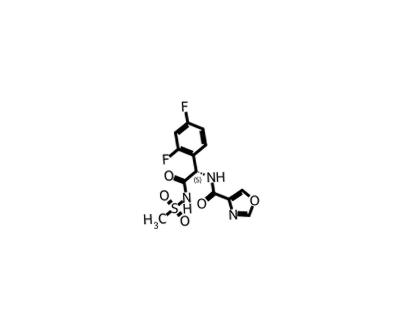 CS(=O)(=O)NC(=O)[C@@H](NC(=O)c1cocn1)c1ccc(F)cc1F